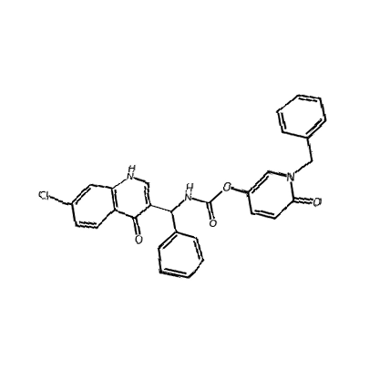 O=C(NC(c1ccccc1)c1c[nH]c2cc(Cl)ccc2c1=O)Oc1ccc(=O)n(Cc2ccccc2)c1